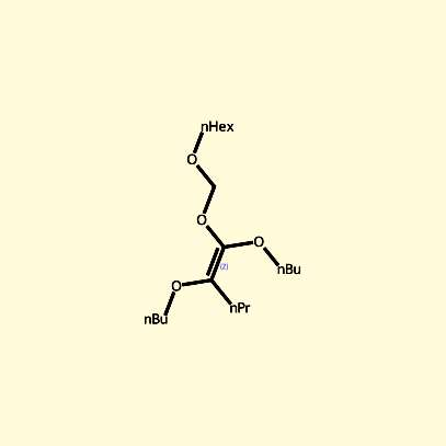 CCCCCCOCO/C(OCCCC)=C(/CCC)OCCCC